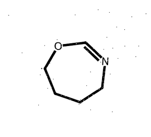 [CH]1CCCN=CO1